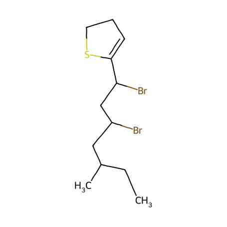 CCC(C)CC(Br)CC(Br)C1=CCCS1